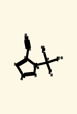 N#Cc1[c]n[c]n1C(F)(F)F